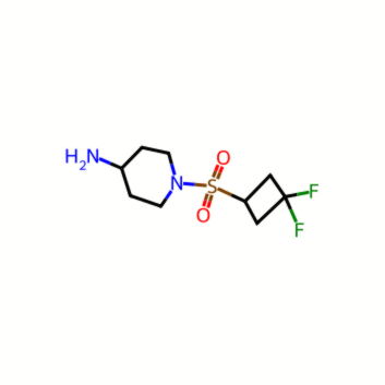 NC1CCN(S(=O)(=O)C2CC(F)(F)C2)CC1